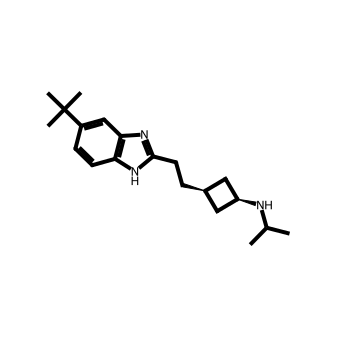 CC(C)N[C@H]1C[C@@H](CCc2nc3cc(C(C)(C)C)ccc3[nH]2)C1